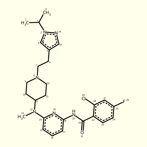 CC(C)n1cc(CCN2CCC(N(C)c3cccc(NC(=O)c4ccc(F)cc4Cl)n3)CC2)cn1